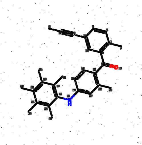 CC#Cc1ccc(C)c(C(=O)c2ccc(Nc3c(C)c(C)c(C)c(C)c3C)cc2C)c1